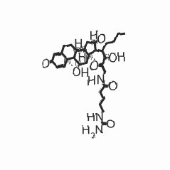 CCCC1O[C@@H]2C[C@H]3[C@@H]4CCC5=CC(=O)C=C[C@]5(C)C4[C@@H](O)C[C@]3(C)C2C1[C@H](O)C(=O)CNC(=O)CCCCNC(N)=O